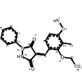 CCCOc1ccc(/C=C2/C(=O)NN(c3ccccc3)C2=O)c(OCC(=O)O)c1C